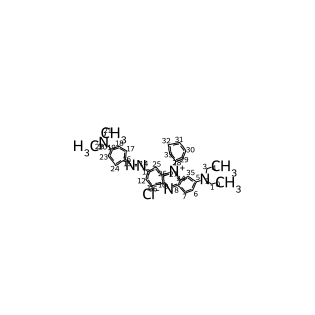 CCN(CC)c1ccc2nc3ccc(/N=N/c4ccc(N(C)C)cc4)cc3[n+](-c3ccccc3)c2c1.[Cl-]